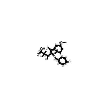 COc1ccc2c(c1)c(C)c(C(C)C(C)(C)C(=O)O)n2Cc1ccc(Cl)cc1